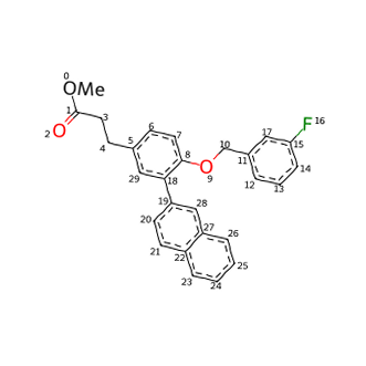 COC(=O)CCc1ccc(OCc2cccc(F)c2)c(-c2ccc3ccccc3c2)c1